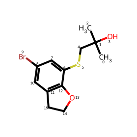 CC(C)(O)CSc1cc(Br)cc2c1OCC2